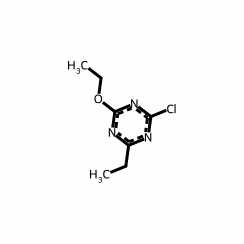 CCOc1nc(Cl)nc(CC)n1